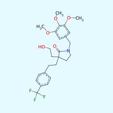 COc1cc(CN2CCC(CCO)(CCc3ccc(C(F)(F)F)cc3)C2=O)cc(OC)c1OC